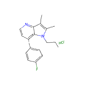 CCCn1c(C)c(C)c2nccc(-c3ccc(F)cc3)c21.Cl